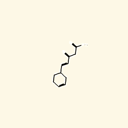 COC(=O)CC(=O)/C=C/C1CC=CCC1